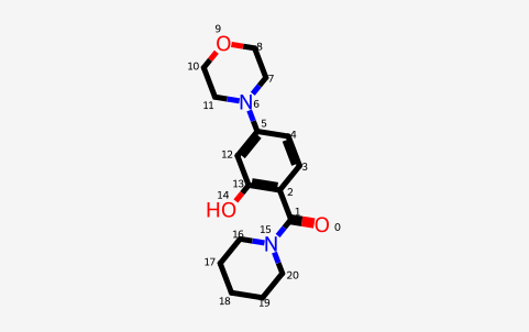 O=C(c1ccc(N2CCOCC2)cc1O)N1CCCCC1